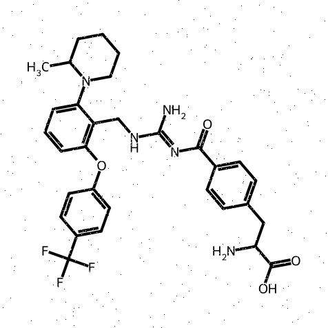 CC1CCCCN1c1cccc(Oc2ccc(C(F)(F)F)cc2)c1CN/C(N)=N/C(=O)c1ccc(CC(N)C(=O)O)cc1